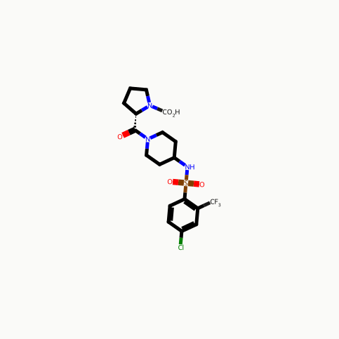 O=C([C@@H]1CCCN1C(=O)O)N1CCC(NS(=O)(=O)c2ccc(Cl)cc2C(F)(F)F)CC1